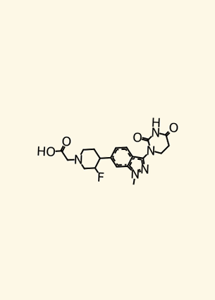 Cn1nc(N2CCC(=O)NC2=O)c2ccc(C3CCN(CC(=O)O)CC3F)cc21